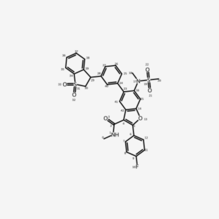 CNC(=O)c1c(-c2ccc(F)cc2)oc2cc(N(C)S(C)(=O)=O)c(-c3cccc(C4CS(=O)(=O)c5ccccc54)c3)cc12